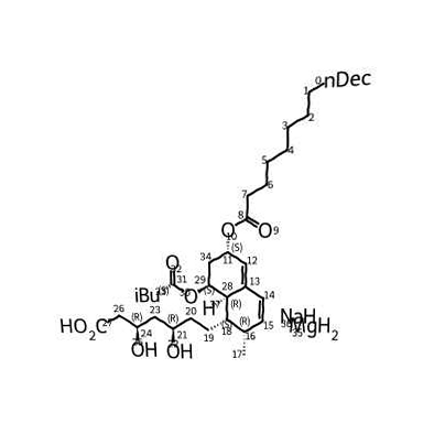 CCCCCCCCCCCCCCCCCC(=O)O[C@@H]1C=C2C=C[C@H](C)[C@H](CC[C@@H](O)C[C@@H](O)CC(=O)O)[C@H]2[C@@H](OC(=O)[C@@H](C)CC)C1.[MgH2].[NaH]